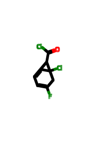 O=C(Cl)C1C2=CC=C(F)CC21Cl